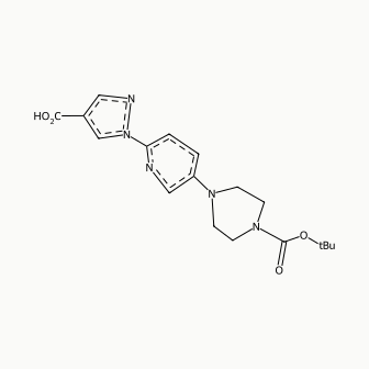 CC(C)(C)OC(=O)N1CCN(c2ccc(-n3cc(C(=O)O)cn3)nc2)CC1